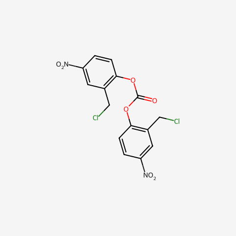 O=C(Oc1ccc([N+](=O)[O-])cc1CCl)Oc1ccc([N+](=O)[O-])cc1CCl